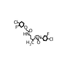 C=C(CCNC(=O)COc1ccc(Cl)c(F)c1)N1CCN(c2ccc(Cl)c(F)c2)C1=O